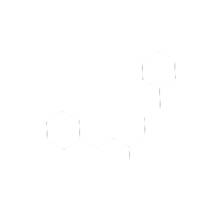 O=C(O)C(CCCC1CCCCC1)CCC1CCCCC1